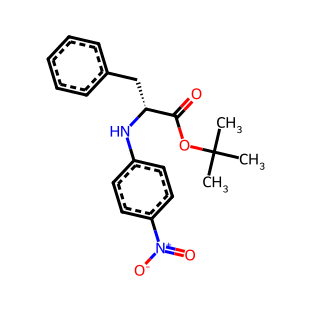 CC(C)(C)OC(=O)[C@@H](Cc1ccccc1)Nc1ccc([N+](=O)[O-])cc1